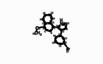 COc1ccc(-c2[nH]ncc2-c2cccc(Br)c2)c2ccccc12